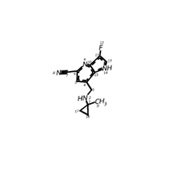 CC1(NCc2cc(C#N)nc3c(F)c[nH]c23)CC1